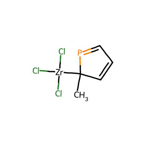 C[C]1([Zr]([Cl])([Cl])[Cl])C=CC=P1